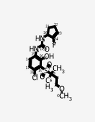 COCCC(C)(C)S(=O)(=O)c1c(Cl)ccc(NC(=O)NC2CCC=C2F)c1O